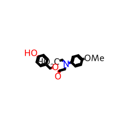 COc1ccc(N(CC(=O)O)CC(=O)OCc2ccc(O)cc2)cc1